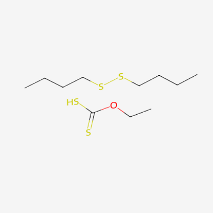 CCCCSSCCCC.CCOC(=S)S